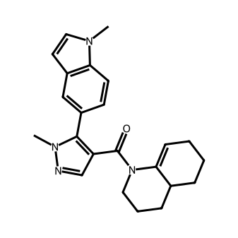 Cn1ncc(C(=O)N2CCCC3CCCC=C32)c1-c1ccc2c(ccn2C)c1